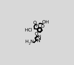 Cl.NCc1cc(Oc2cccc3c2CCC(=O)N3CC(=O)O)ncn1